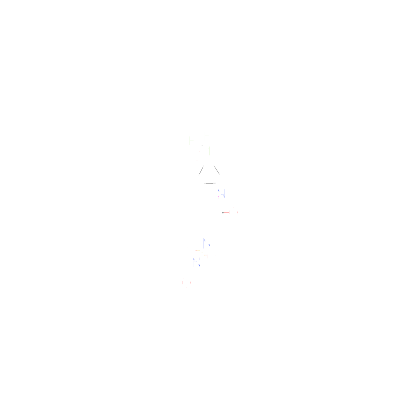 O=C(ONc1ccc(OC(F)(F)F)cc1)C1CCN(S(=O)(=O)N2CCOCC2)CC1